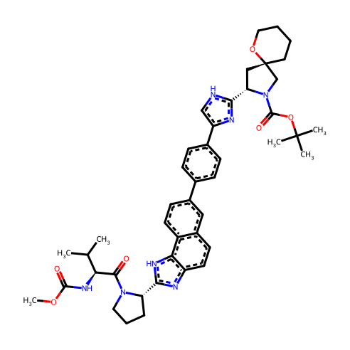 COC(=O)N[C@H](C(=O)N1CCC[C@H]1c1nc2ccc3cc(-c4ccc(-c5c[nH]c([C@@H]6C[C@@]7(CCCCO7)CN6C(=O)OC(C)(C)C)n5)cc4)ccc3c2[nH]1)C(C)C